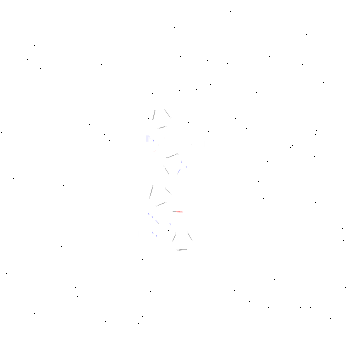 COc1ncc(-c2ccc3nc(N)n(-c4ccccc4)c(=O)c3c2)cc1S(=O)(=O)Nc1cc(F)cc(F)c1